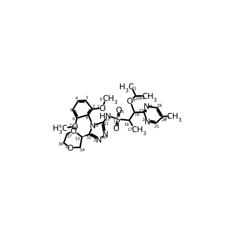 COc1cccc(OC)c1-n1c(NS(=O)(=O)C(C)C(OC(C)C)c2ncc(C)cn2)nnc1[C@H]1COCCO1